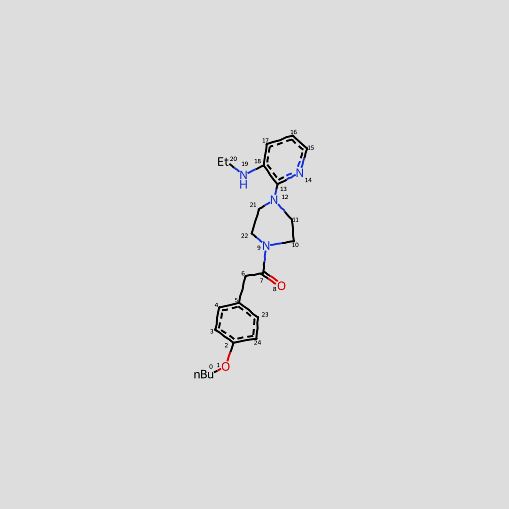 CCCCOc1ccc(CC(=O)N2CCN(c3ncccc3NCC)CC2)cc1